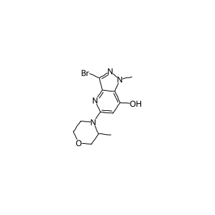 CC1COCCN1c1cc(O)c2c(n1)c(Br)nn2C